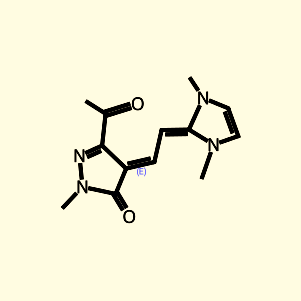 CC(=O)C1=NN(C)C(=O)/C1=C/C=C1N(C)C=CN1C